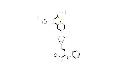 O=C(O)c1cc(O[C@H]2C[C@@H](F)C2)c2cc(N3CC4C(/C=C/c5c(-c6ccccc6C(F)(F)F)noc5C5CC5)C4C3)ccc2n1